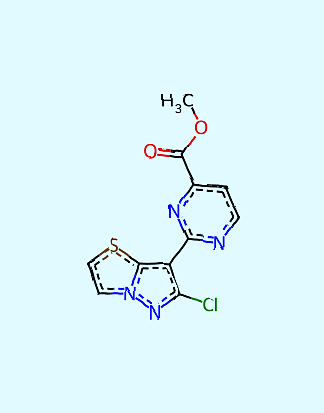 COC(=O)c1ccnc(-c2c(Cl)nn3ccsc23)n1